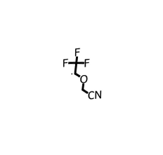 N#CCO[CH]C(F)(F)F